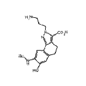 CCC(C)Nc1cc2c(cc1O)CCc1c-2nn(CCCN)c1C(=O)O